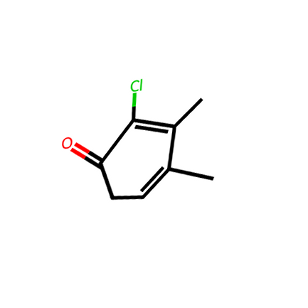 CC1=CCC(=O)C(Cl)=C1C